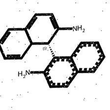 NC1=CC=C2C=CC=CC2[C@H]1c1c(N)ccc2ccccc12